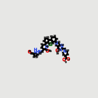 COC(=O)C1CCN(Cc2nc3c(c(OC)n2)CN(c2cccc(-c4cccc(-c5ccc(CNC[C@@H]6CCC(=C=O)N6)c(OC)n5)c4Cl)c2Cl)C3)CC1